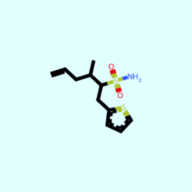 C=CCC(C)C(Cc1cccs1)S(N)(=O)=O